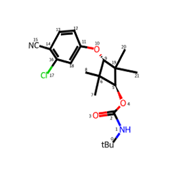 CC(C)(C)NC(=O)O[C@H]1C(C)(C)[C@H](Oc2ccc(C#N)c(Cl)c2)C1(C)C